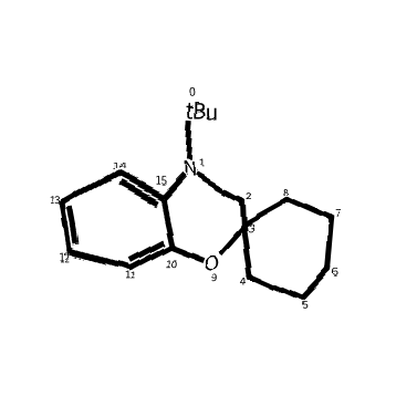 CC(C)(C)N1CC2(CCCCC2)Oc2ccccc21